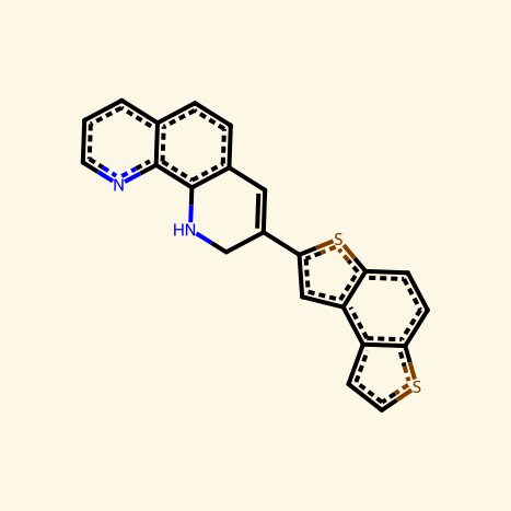 C1=C(c2cc3c(ccc4sccc43)s2)CNc2c1ccc1cccnc21